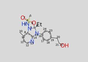 CCC1N(NS(C)(=O)=O)c2c(C)ccnc2N1c1ccc(CCO)cc1